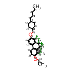 CCCCCC1CCC(COc2ccc3c(c2F)C(F)(F)C(F)(F)C(C)=C3/C=C\C(=C\F)OCC)CC1